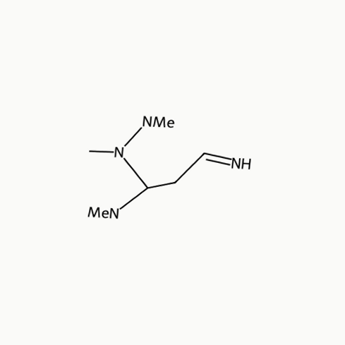 CNC(CC=N)N(C)NC